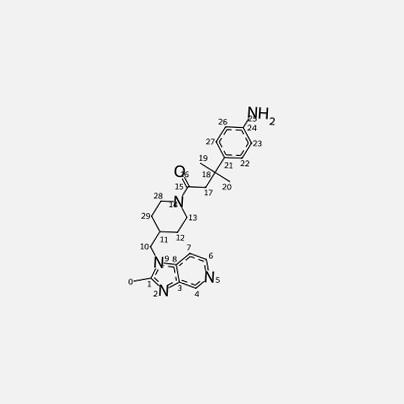 Cc1nc2cnccc2n1CC1CCN(C(=O)CC(C)(C)c2ccc(N)cc2)CC1